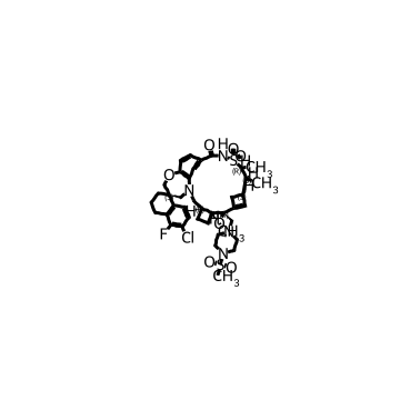 CO[C@@]1(CN2CCN(S(C)(=O)=O)CC2)C2=C[C@H](C2)[C@H](C)[C@@H](C)S(=O)(=O)NC(=O)c2ccc3c(c2)N(C[C@@H]2CC[C@H]21)C[C@@]1(CCCc2c1ccc(Cl)c2F)CO3